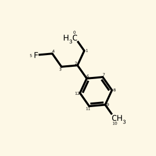 CCC(CCF)c1ccc(C)cc1